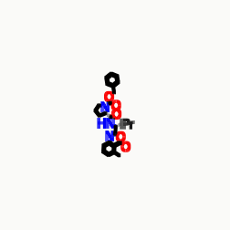 Cc1cccc2nc([C@H](NC(=O)[C@@H]3CCCN3C(=O)OCc3ccccc3)C(C)C)oc(=O)c12